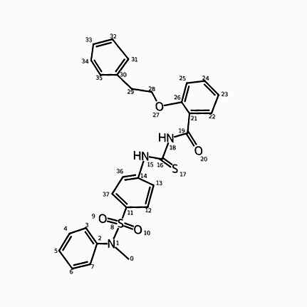 CN(c1ccccc1)S(=O)(=O)c1ccc(NC(=S)NC(=O)c2ccccc2OCCc2ccccc2)cc1